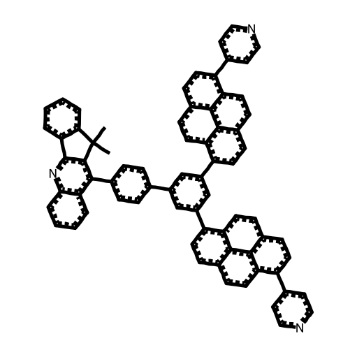 CC1(C)c2ccccc2-c2nc3ccccc3c(-c3ccc(-c4cc(-c5ccc6ccc7c(-c8ccncc8)ccc8ccc5c6c87)cc(-c5ccc6ccc7c(-c8ccncc8)ccc8ccc5c6c87)c4)cc3)c21